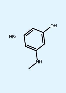 Br.CNc1cccc(O)c1